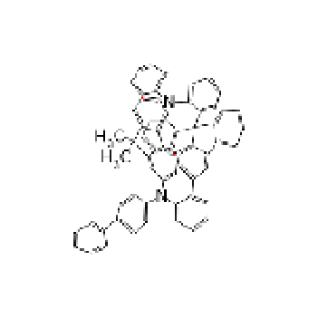 CC1(C)c2ccccc2-c2ccc(N(c3ccc(-c4ccccc4)cc3)c3ccccc3-c3ccc4c(c3)-c3ccccc3C43c4ccccc4N(c4ccccc4)c4ccccc43)cc21